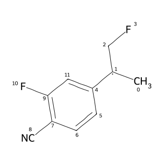 C[C](CF)c1ccc(C#N)c(F)c1